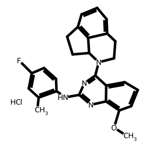 COc1cccc2c(N3CCc4cccc5c4C3CC5)nc(Nc3ccc(F)cc3C)nc12.Cl